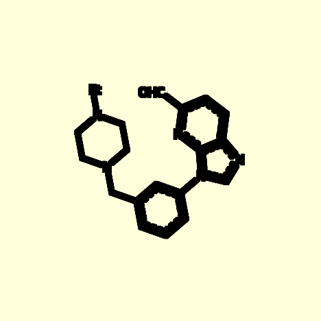 CCN1CCN(Cc2cccc(-n3cnc4ccc(C=O)nc43)c2)CC1